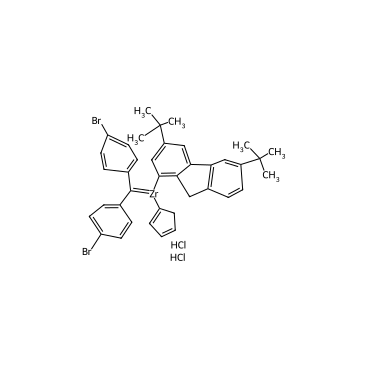 CC(C)(C)c1ccc2c(c1)-c1cc(C(C)(C)C)c[c]([Zr]([C]3=CC=CC3)=[C](c3ccc(Br)cc3)c3ccc(Br)cc3)c1C2.Cl.Cl